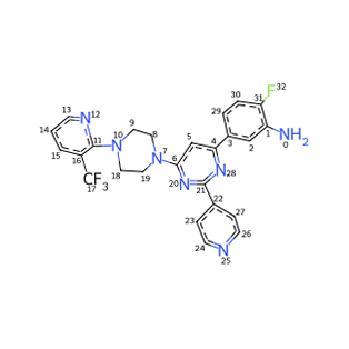 Nc1cc(-c2cc(N3CCN(c4ncccc4C(F)(F)F)CC3)nc(-c3ccncc3)n2)ccc1F